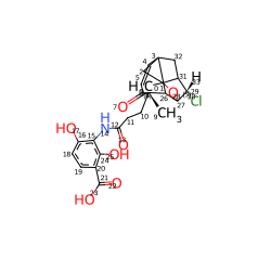 CC12CC34C=CC(=O)[C@@](C)(CCC(=O)Nc5c(O)ccc(C(=O)O)c5O)C3C(O1)[C@@H](Cl)C2C4